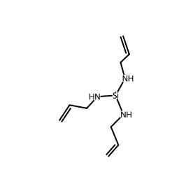 C=CCN[Si](NCC=C)NCC=C